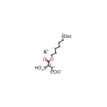 CCCCCCCCCCCCCCCCOC(=O)C(CC(=O)[O-])S(=O)(=O)O.[K+]